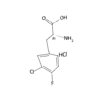 Cl.N[C@H](Cc1ccc(F)c(Cl)c1)C(=O)O